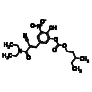 CCC(C)CCOC(=O)Oc1cc(/C=C(\C#N)C(=O)N(CC)CC)cc([N+](=O)[O-])c1O